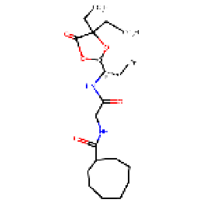 CC(C)C[C@H](NC(=O)CNC(=O)C1CCCCCCC1)B1OC(=O)C(CC(=O)O)(CC(=O)O)O1